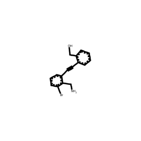 NCc1c(Br)cccc1C#Cc1ccccc1CO